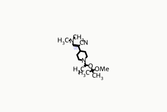 C=C(OC(C)(C)OC)N1CCC(/C(C#N)=C/N(C)C)CC1